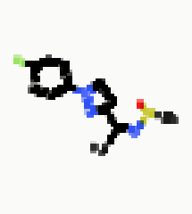 C/C(=N/[S+]([O-])C(C)(C)C)c1ccn(-c2ccc(F)cc2)n1